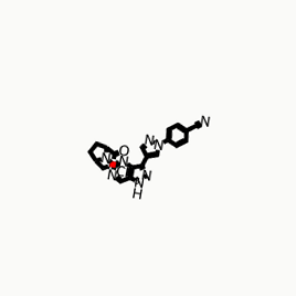 CN1CC2CCC(C1=O)N2c1ncc2[nH]nc(-c3cnn(-c4ccc(C#N)cc4)c3)c2n1